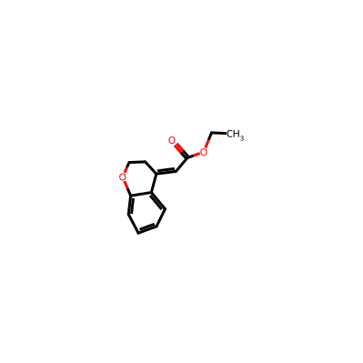 CCOC(=O)/C=C1\CCOc2ccccc21